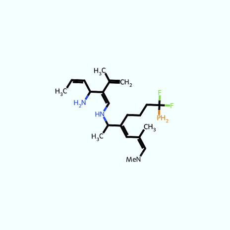 C=C(C)/C(=C/NC(C)/C(=C/C(C)=C\NC)CCCC(F)(F)P)C(N)/C=C\C